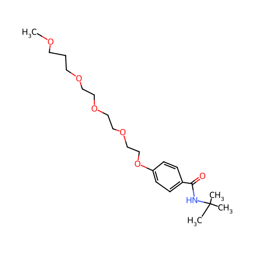 COCCCOCCOCCOCCOc1ccc(C(=O)NC(C)(C)C)cc1